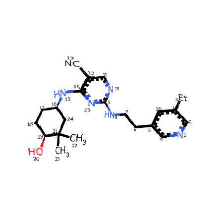 CCc1cncc(CCNc2ncc(C#N)c(N[C@@H]3CC[C@H](O)C(C)(C)C3)n2)c1